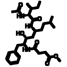 CCC(C)[C@H](NC(C)=O)C(=O)NC(CCC(C)C)C[C@H](O)C(Cc1ccccc1)NC(=O)CCC(=O)OC